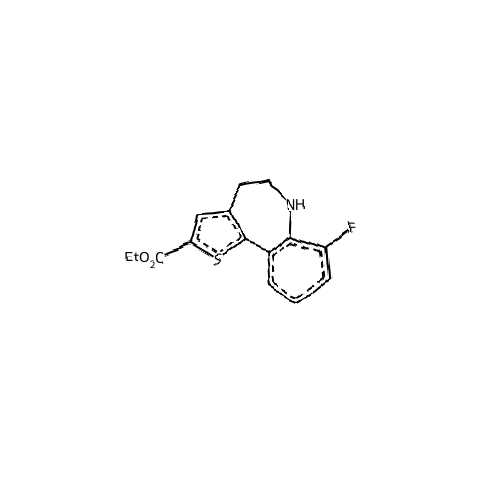 CCOC(=O)c1cc2c(s1)-c1cccc(F)c1NCC2